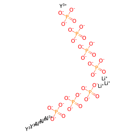 O=P([O-])([O-])[O-].O=P([O-])([O-])[O-].O=P([O-])([O-])[O-].O=P([O-])([O-])[O-].O=P([O-])([O-])[O-].O=P([O-])([O-])[O-].O=P([O-])([O-])[O-].[Al+3].[Al+3].[Al+3].[Li+].[Li+].[Li+].[Y+3].[Y+3].[Y+3]